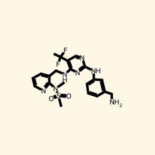 CN(c1ncccc1CNc1nc(Nc2cccc(CN)c2)ncc1C(C)(F)F)S(C)(=O)=O